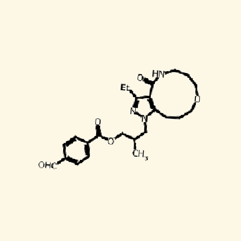 CCc1nn(C[C@@H](C)COC(=O)c2ccc(C=O)cc2)c2c1C(=O)NCCCOCCC2